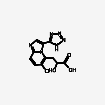 O=C(O)C(O)Cc1c(Cl)ccc2ncc(-c3nnn[nH]3)n12